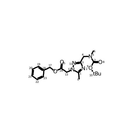 Cc1nc(CN(C)C(=O)OC(C)(C)C)nn1CC(=O)OCc1ccccc1